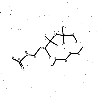 CCC(C)(C)OC(C)(C)CC.CCCCCC.CCOC(C)=O